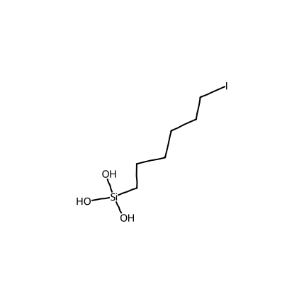 O[Si](O)(O)CCCCCCI